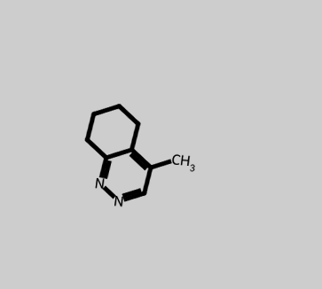 Cc1cnnc2c1CCCC2